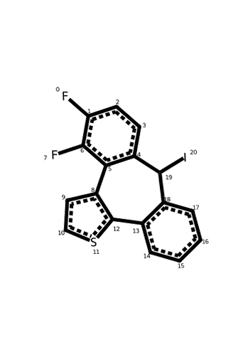 Fc1ccc2c(c1F)-c1ccsc1-c1ccccc1C2I